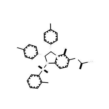 CNC(=O)Oc1ccc2n(c1=O)[C@@H](c1ccc(Cl)cc1)[C@@H](c1ccc(Cl)cc1)N2S(=O)(=O)c1ccccc1F